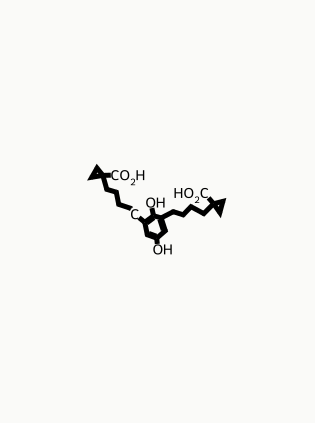 O=C(O)C1(CCCCCc2cc(O)cc(CCCCC3(C(=O)O)CC3)c2O)CC1